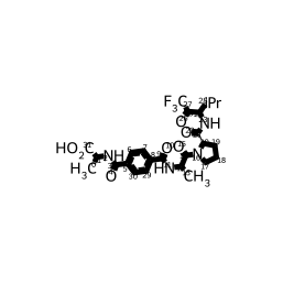 CC(NC(=O)c1ccc(C(=O)NC(C)C(=O)N2CCC[C@H]2C(=O)NC(C(=O)C(F)(F)F)C(C)C)cc1)C(=O)O